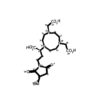 CC(C)(C)C1CC(=O)N(CC[C@@H](C(=O)O)N2CCN(CC(=O)O)CCN(CC(=O)O)CC2)C1=O